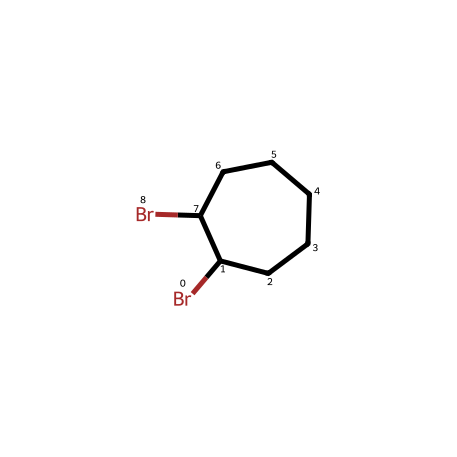 BrC1CCCCCC1Br